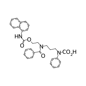 O=C(Nc1cccc2ccccc12)OCCN(CCCN(C(=O)O)c1ccccc1)C(=O)c1ccccc1